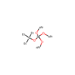 CCCO[Si](OCCC)(OCCC)O[Si](CC)(CC)CC